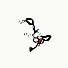 CN(C(=O)/C=C/c1cccc(C(F)(F)F)c1)C1CC[C@@]2(O)[C@H]3Cc4cccc5c4[C@@]2(CCN3CC2CC2)C1O5